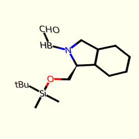 CC(C)(C)[Si](C)(C)OC[C@@H]1C2CCCCC2CN1BC=O